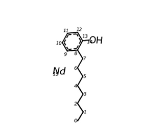 CCCCCCCCc1ccccc1O.[Nd]